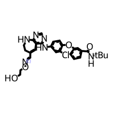 CC(C)(C)NC(=O)c1cccc(Oc2ccc(Nc3ncnc4c3C=C(/C=N/OCCO)CCN4)cc2Cl)c1